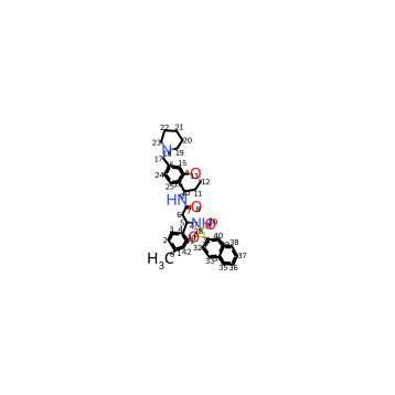 Cc1ccc(C(CC(=O)NC2CCOc3cc(CN4CCCCC4)ccc32)NS(=O)(=O)c2ccc3ccccc3c2)cc1